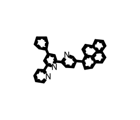 c1ccc(-c2cc(-c3ccccn3)nc(-c3ccc(-c4ccc5ccc6cccc7ccc4c5c67)cn3)c2)cc1